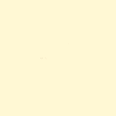 CNCC1CC(C(C)C)OC(C)C1O